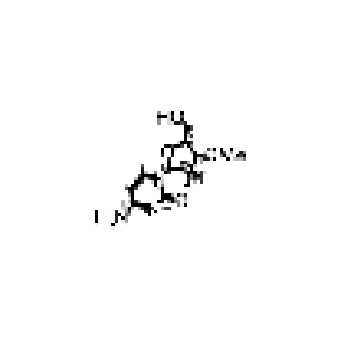 CO[C@H]1C(CO)OC(n2ccc(N)nc2=O)C1(F)F